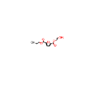 O=NCCOC(=O)c1ccc(C(=O)OCCO)o1